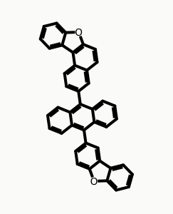 c1ccc2c(c1)oc1ccc(-c3c4ccccc4c(-c4ccc5c(ccc6oc7ccccc7c65)c4)c4ccccc34)cc12